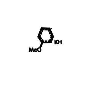 COc1cc[c]cc1.[KH]